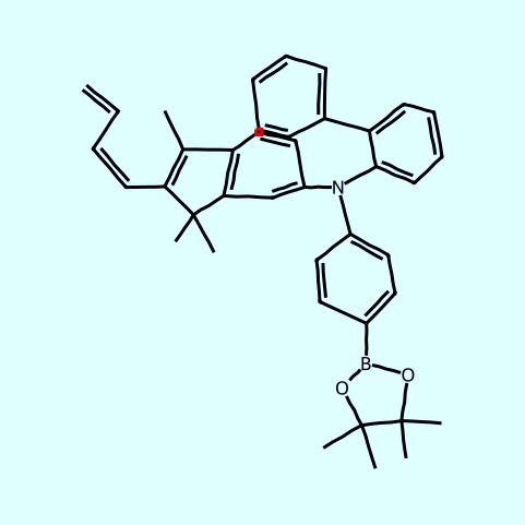 C=C/C=C\C1=C(C)c2ccc(N(c3ccc(B4OC(C)(C)C(C)(C)O4)cc3)c3ccccc3-c3ccccc3)cc2C1(C)C